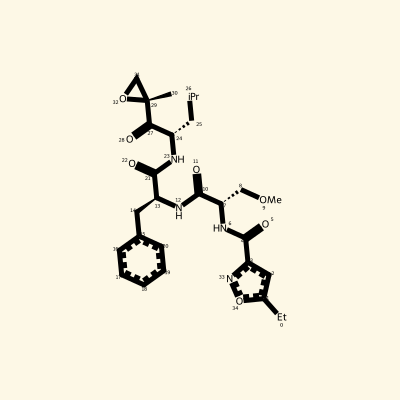 CCc1cc(C(=O)N[C@@H](COC)C(=O)N[C@@H](Cc2ccccc2)C(=O)N[C@@H](CC(C)C)C(=O)[C@@]2(C)CO2)no1